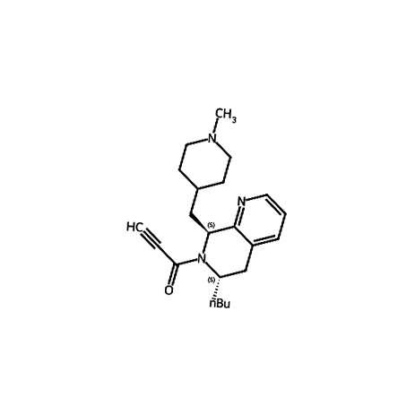 C#CC(=O)N1[C@@H](CCCC)Cc2cccnc2[C@@H]1CC1CCN(C)CC1